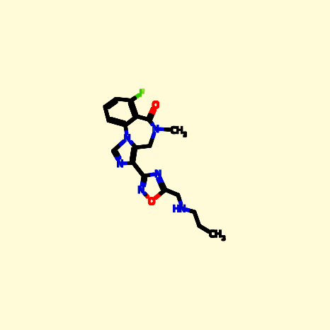 CCCNCc1nc(-c2ncn3c2CN(C)C(=O)c2c(F)cccc2-3)no1